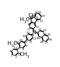 Cc1ccccc1-c1ccc(-c2ccc(N(c3ccc4c(c3)-c3ccccc3C4(C)C)c3ccc4ccccc4c3)cc2)cc1C